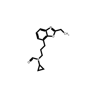 CCc1nc2cccc(CCCN(C=O)C3CC3)c2o1